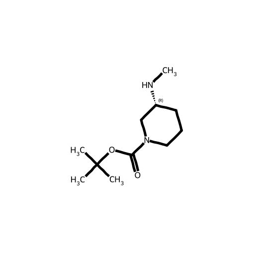 CN[C@@H]1CCCN(C(=O)OC(C)(C)C)C1